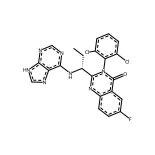 CC[C@@H](Nc1ncnc2[nH]cnc12)c1nc2ccc(F)cc2c(=O)n1-c1c(Cl)cccc1Cl